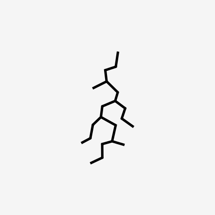 CCCC(C)CC(CCC)CC(CCC)CC(C)CCC